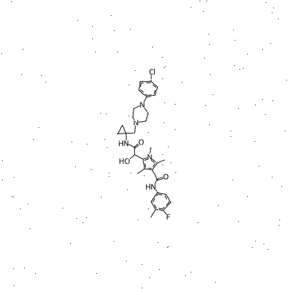 Cc1cc(NC(=O)c2c(C)c(C(O)C(=O)NC3(CN4CCN(c5ccc(Cl)cc5)CC4)CC3)n(C)c2C)ccc1F